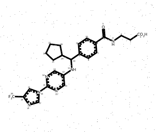 O=C(O)CCNC(=O)c1ccc(C(Nc2cnc(-n3cnc(C(F)(F)F)c3)nc2)C2CCCC2)cc1